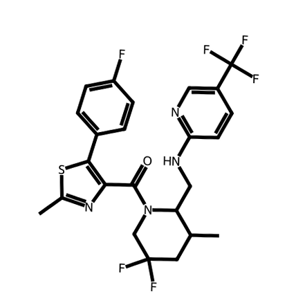 Cc1nc(C(=O)N2CC(F)(F)CC(C)C2CNc2ccc(C(F)(F)F)cn2)c(-c2ccc(F)cc2)s1